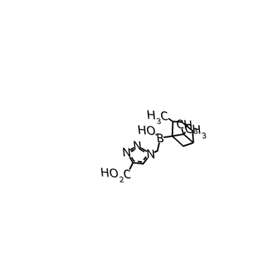 CC1CCC2CC1(B(O)Cn1cc(C(=O)O)nn1)C2(C)C